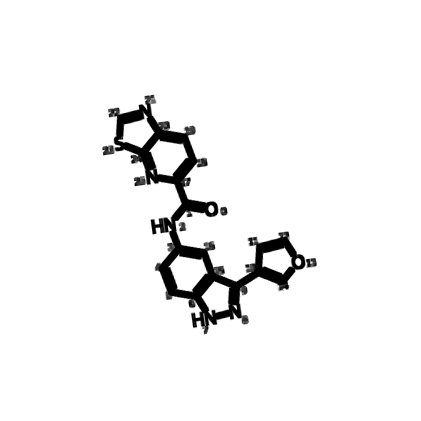 O=C(Nc1ccc2[nH]nc(-c3ccoc3)c2c1)c1ccc2ncsc2n1